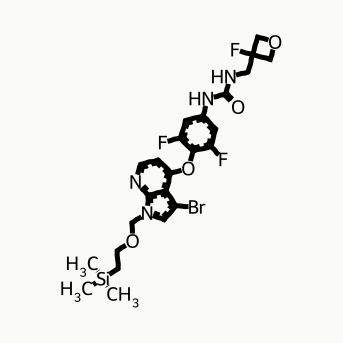 C[Si](C)(C)CCOCn1cc(Br)c2c(Oc3c(F)cc(NC(=O)NCC4(F)COC4)cc3F)ccnc21